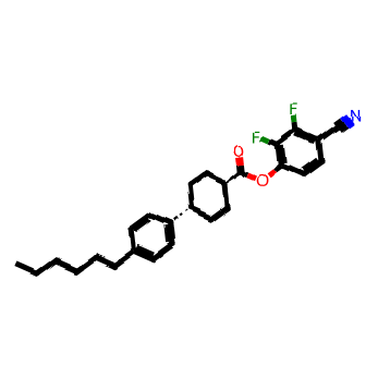 CCCCCCc1ccc([C@H]2CC[C@H](C(=O)Oc3ccc(C#N)c(F)c3F)CC2)cc1